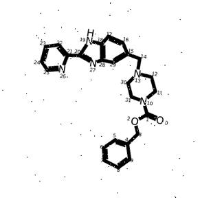 O=C(OCc1ccccc1)N1CCN(Cc2ccc3[nH]c(-c4ccccn4)nc3c2)CC1